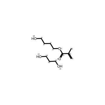 C=C(C)C(=O)OCCCCO.OCCCO